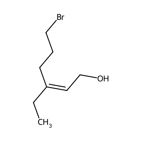 CCC(=CCO)CCCBr